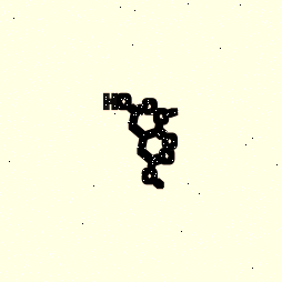 COC(=O)CC(CC(=O)O)C(=O)OC